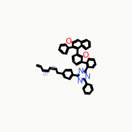 C=C/C=C\C=C/Cc1ccc(-c2nc(-c3ccccc3)nc(-c3cccc4oc5c(-c6c7ccccc7cc7oc8ccccc8c67)cccc5c34)n2)cc1